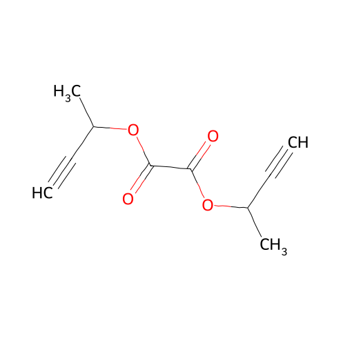 C#CC(C)OC(=O)C(=O)OC(C)C#C